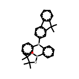 CC1(C)c2ccccc2-c2ccc(N(c3ccccc3)c3ccccc3B3OC(C)(C)C(C)(C)O3)cc21